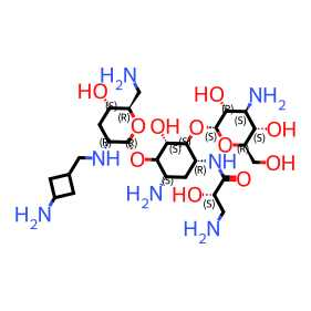 NC[C@H](O)C(=O)N[C@@H]1C[C@H](N)C(O[C@H]2O[C@H](CN)[C@@H](O)C[C@H]2NCC2CC(N)C2)[C@H](O)[C@H]1O[C@H]1O[C@H](CO)[C@@H](O)[C@H](N)[C@H]1O